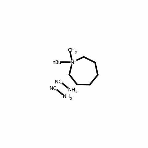 CCCC[N+]1(C)CCCCCC1.N#CN.N#CN